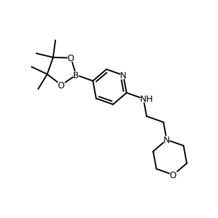 CC1(C)OB(c2ccc(NCCN3CCOCC3)nc2)OC1(C)C